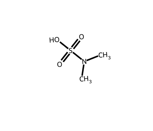 CN(C)S(=O)(=O)O